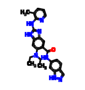 CCN(CC)c1cc2[nH]c(Nc3ncccc3C)nc2cc1C(=O)Nc1ccc2cn[nH]c2c1